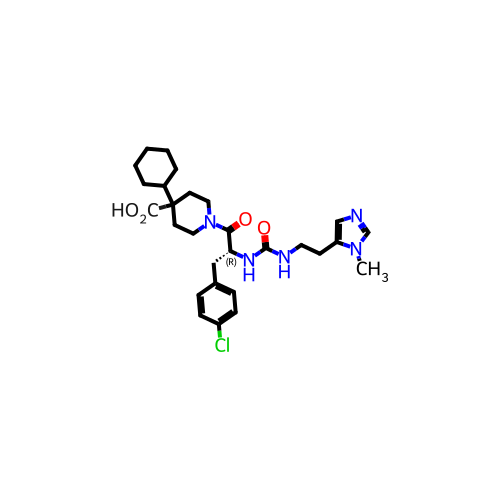 Cn1cncc1CCNC(=O)N[C@H](Cc1ccc(Cl)cc1)C(=O)N1CCC(C(=O)O)(C2CCCCC2)CC1